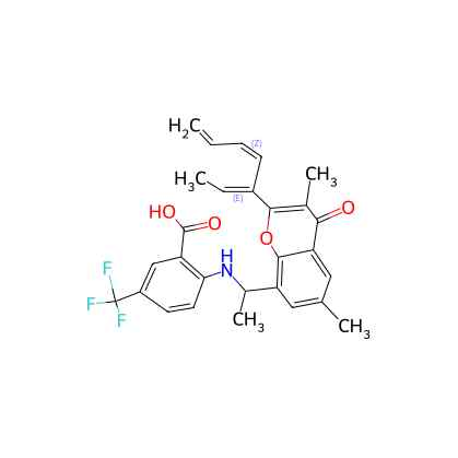 C=C/C=C\C(=C/C)c1oc2c(C(C)Nc3ccc(C(F)(F)F)cc3C(=O)O)cc(C)cc2c(=O)c1C